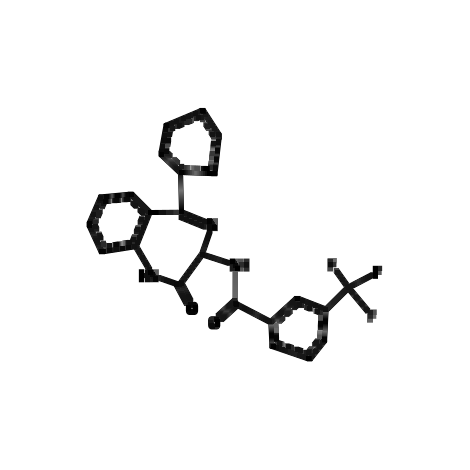 O=C(NC1N=C(c2ccccc2)c2ccccc2NC1=O)c1cccc(C(F)(F)F)c1